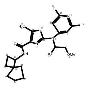 COCC(O)N(c1cc(F)nc(F)c1)c1nc(C(=O)NC2CCC23CCCC3)c(C)s1